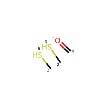 C=O.CS.CS